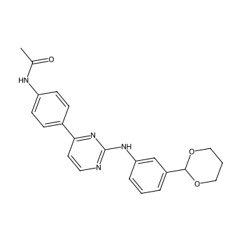 CC(=O)Nc1ccc(-c2ccnc(Nc3cccc(C4OCCCO4)c3)n2)cc1